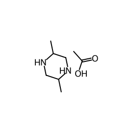 CC(=O)O.CC1CNC(C)CN1